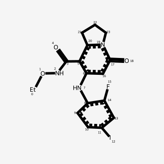 CCONC(=O)c1c(Nc2ccc(I)cc2F)cc(=O)n2c1CCC2